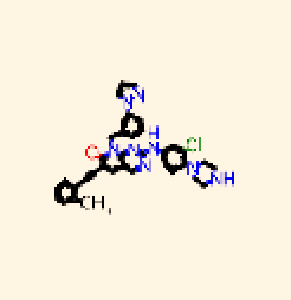 Cc1ccccc1C#Cc1cc2cnc(Nc3ccc(N4CCNCC4)c(Cl)c3)nc2n(Cc2cccc(-n3cccn3)c2)c1=O